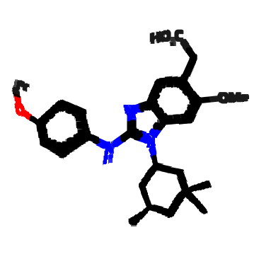 COc1cc2c(cc1CC(=O)O)nc(Nc1ccc(OC(C)C)cc1)n2[C@@H]1C[C@H](C)CC(C)(C)C1